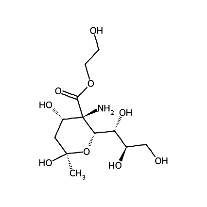 C[C@]1(O)C[C@H](O)[C@](N)(C(=O)OCCO)[C@H]([C@H](O)[C@H](O)CO)O1